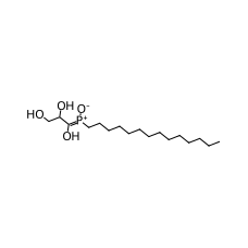 CCCCCCCCCCCCCC/[P+]([O-])=C(\O)C(O)CO